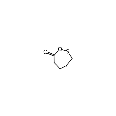 O=C1CC[CH]CSO1